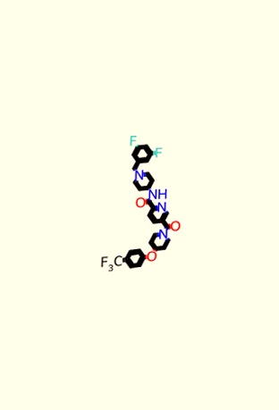 O=C(NC1CCN(Cc2cc(F)cc(F)c2)CC1)c1ccc(C(=O)N2CCC(Oc3ccc(C(F)(F)F)cc3)CC2)cn1